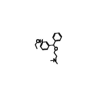 CCO.CN(C)CCOC(c1ccccc1)c1ccccc1